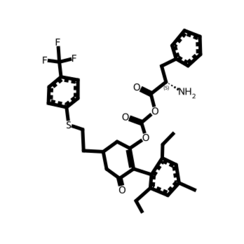 CCc1cc(C)cc(CC)c1C1=C(OC(=O)OC(=O)[C@@H](N)Cc2ccccc2)CC(CCSc2ccc(C(F)(F)F)cc2)CC1=O